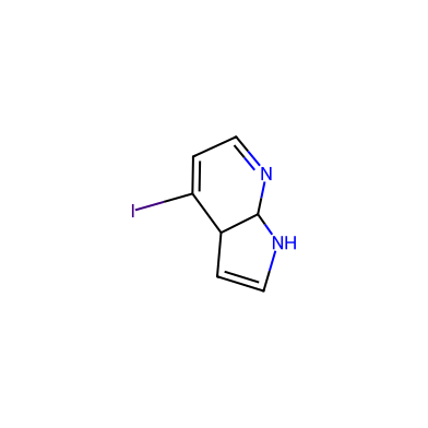 IC1=CC=NC2NC=CC12